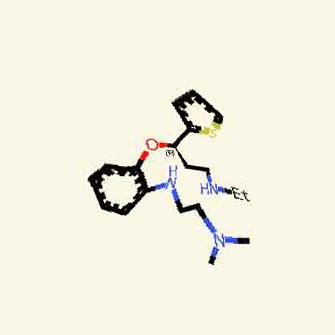 CCNCC[C@@H](Oc1ccccc1NCCN(C)C)c1cccs1